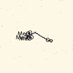 COC(=O)C(=O)/C(C(=O)OC)=C(/CCC/C=C\CCCCCCCCCCCOCc1ccccc1)C(=O)OC